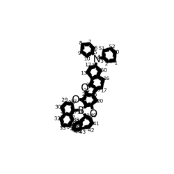 c1ccc(N(c2ccccc2)c2ccc3c(ccc4c5cc6c7c(c5oc34)Oc3ccc4ccccc4c3B7c3c(ccc4ccccc34)O6)c2)cc1